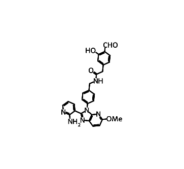 COc1ccc2nc(-c3cccnc3N)n(-c3ccc(CNC(=O)Cc4ccc(C=O)c(O)c4)cc3)c2n1